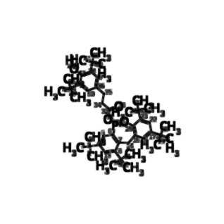 CC(C)(C)c1cc2c(c(C(C)(C)C)c1)Cc1cc(C(C)(C)C)cc(C(C)(C)C)c1OP2OC(=O)CCc1cc(C(C)(C)C)c(O)c(C(C)(C)C)c1